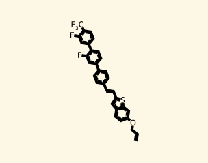 C=CCOc1ccc2cc(/C=C/c3ccc(-c4ccc(-c5ccc(C(F)(F)F)c(F)c5)c(F)c4)cc3)sc2c1